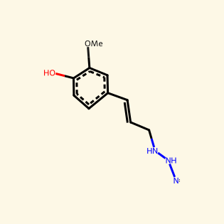 COc1cc(/C=C/CNN[N])ccc1O